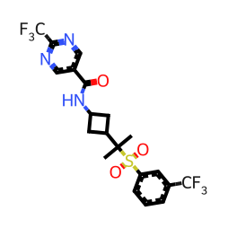 CC(C)(C1CC(NC(=O)c2cnc(C(F)(F)F)nc2)C1)S(=O)(=O)c1cccc(C(F)(F)F)c1